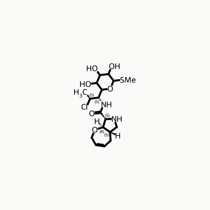 CSC1OC([C@H](NC(=O)[C@H]2NC[C@@H]3CC=CCO[C@H]32)[C@H](C)Cl)C(O)C(O)C1O